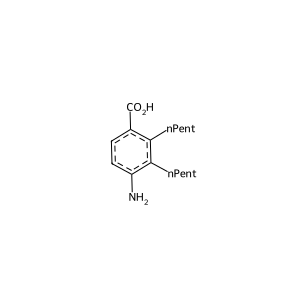 CCCCCc1c(N)ccc(C(=O)O)c1CCCCC